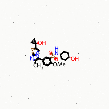 COc1ccc(-c2c(C)nc3sc(C4(O)CC4)cn23)cc1S(=O)(=O)N[C@H]1CC[C@@H](O)CC1